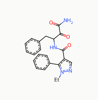 CCn1ncc(C(=O)NC(Cc2ccccc2)C(=O)C(N)=O)c1-c1ccccc1